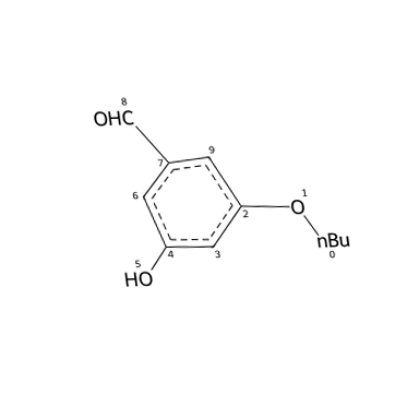 CCCCOc1cc(O)cc(C=O)c1